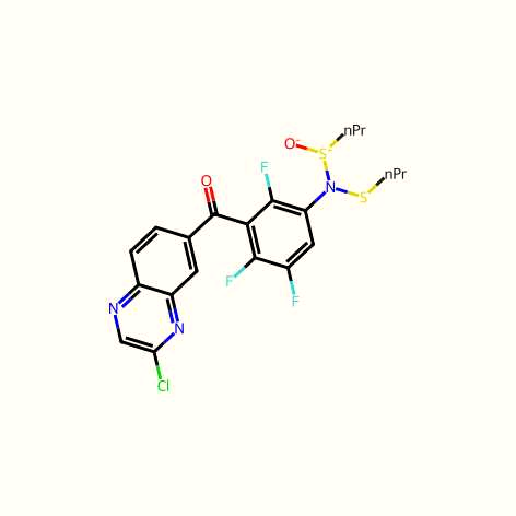 CCCSN(c1cc(F)c(F)c(C(=O)c2ccc3ncc(Cl)nc3c2)c1F)[S+]([O-])CCC